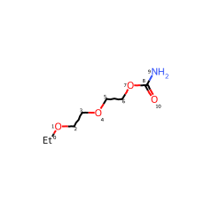 CCOCCOCCOC(N)=O